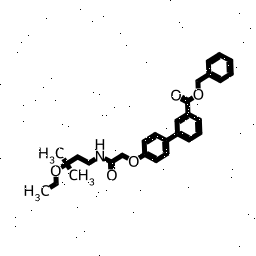 CCOC(C)(C)CCNC(=O)COc1ccc(-c2cccc(C(=O)OCc3ccccc3)c2)cc1